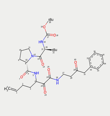 C=CCCC(NC(=O)[C@@H]1CCCN1C(=O)[C@@H](NC(=O)OC(C)(C)C)C(C)(C)C)C(=O)C(=O)NCCC(=O)Cc1ccccc1